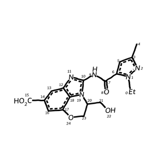 CCn1nc(C)cc1C(=O)Nc1nc2cc(C(=O)O)cc3c2n1C(CO)CO3